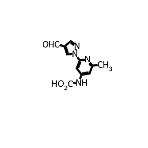 Cc1cc(NC(=O)O)cc(-n2cc(C=O)cn2)n1